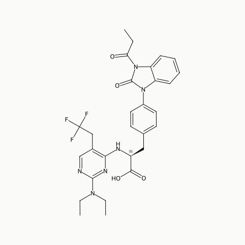 CCC(=O)n1c(=O)n(-c2ccc(C[C@H](Nc3nc(N(CC)CC)ncc3CC(F)(F)F)C(=O)O)cc2)c2ccccc21